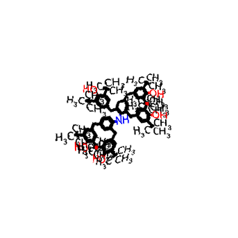 CC(C)(C)c1cc(CC2=CC(Cc3cc(C(C)(C)C)c(O)c(C(C)(C)C)c3)CC(Cc3cc(C(C)(C)C)c(O)c(C(C)(C)C)c3)=C2Nc2ccc(Cc3cc(C(C)(C)C)c(O)c(C(C)(C)C)c3)cc2Cc2cc(C(C)(C)C)c(O)c(C(C)(C)C)c2)cc(C(C)(C)C)c1O